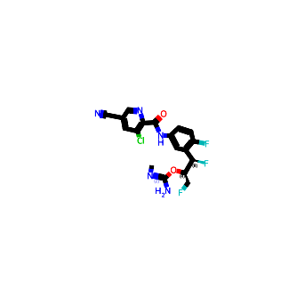 C/N=C(/N)O[C@H](CF)[C@H](F)c1cc(NC(=O)c2ncc(C#N)cc2Cl)ccc1F